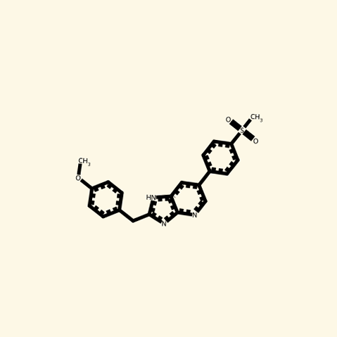 COc1ccc(Cc2nc3ncc(-c4ccc(S(C)(=O)=O)cc4)cc3[nH]2)cc1